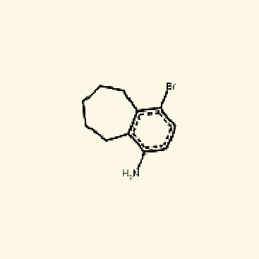 Nc1ccc(Br)c2c1CCCCC2